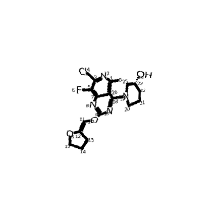 Cc1nc(Cl)c(F)c2nc(OC=C3CCCO3)nc(N3CCC[C@@H](O)C3)c12